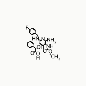 CCOC(=O)Nc1ccc(NCc2ccc(F)cc2)nc1N.O=C(O)C(O)c1ccccc1